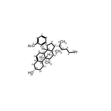 CC(=O)Oc1ccccc1.CC(C)CCCC(C)[C@H]1CC[C@H]2[C@@H]3CC=C4C[C@@H](O)CC[C@]4(C)[C@H]3CC[C@]12C